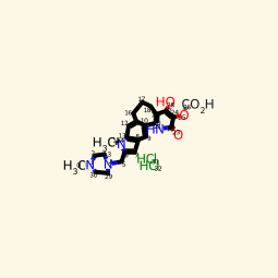 CN1CCN(Cc2cc3cc4c(cc3n2C)CCCc2c-4[nH]c(=O)c(OC(=O)O)c2O)CC1.Cl.Cl